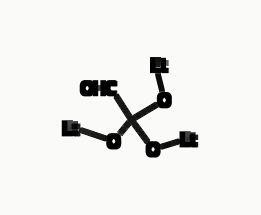 CCOC(C=O)(OCC)OCC